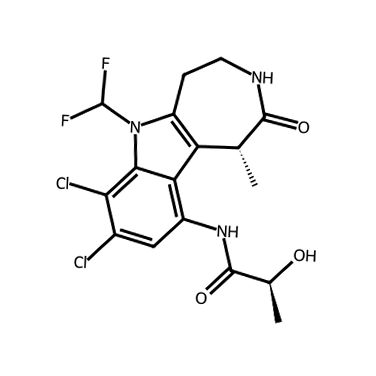 C[C@H](O)C(=O)Nc1cc(Cl)c(Cl)c2c1c1c(n2C(F)F)CCNC(=O)[C@@H]1C